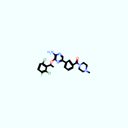 CC(Oc1nc(-c2cccc(C(=O)N3CCN(C)CC3)c2)cnc1N)c1c(Cl)ccc(F)c1Cl